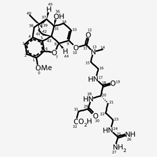 COc1ccc2c3c1O[C@H]1C(OC(=O)N(C)CCNC(=O)[C@H](CCCNC(=N)N)NC(=O)CC(=O)O)=CC[C@@]4(O)[C@@H](C2)N(C)CC[C@]314